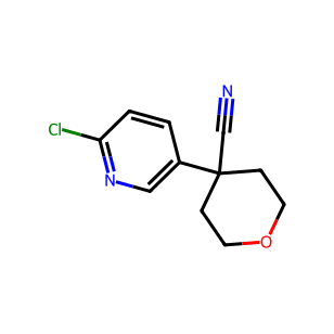 N#CC1(c2ccc(Cl)nc2)CCOCC1